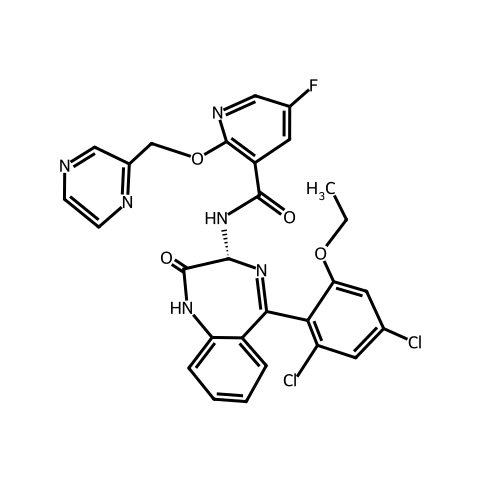 CCOc1cc(Cl)cc(Cl)c1C1=N[C@@H](NC(=O)c2cc(F)cnc2OCc2cnccn2)C(=O)Nc2ccccc21